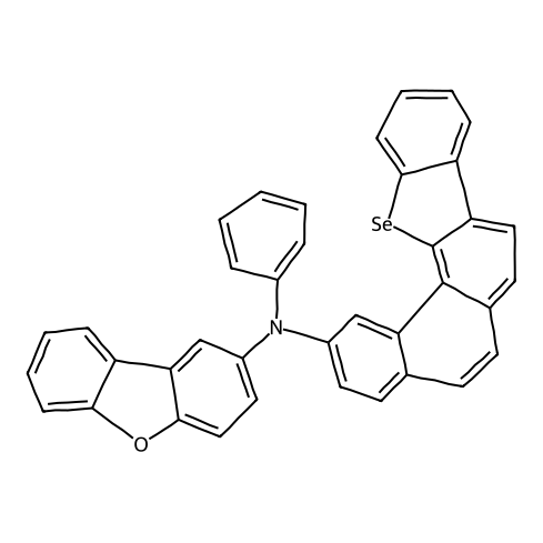 c1ccc(N(c2ccc3oc4ccccc4c3c2)c2ccc3ccc4ccc5c6ccccc6[se]c5c4c3c2)cc1